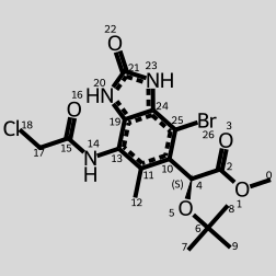 COC(=O)[C@@H](OC(C)(C)C)c1c(C)c(NC(=O)CCl)c2[nH]c(=O)[nH]c2c1Br